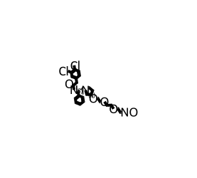 CN(C(=O)Cc1ccc(Cl)c(Cl)c1)[C@H](CN1CC[C@H](OCCOCCOCCN=O)C1)c1ccccc1